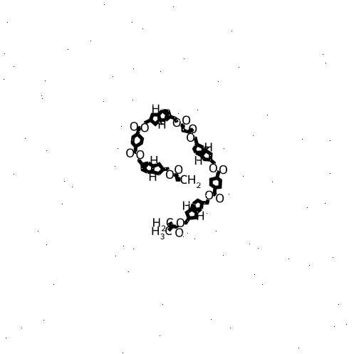 C=CC(=O)OCC1C[C@@H]2C3CC(CC3COC(=O)C3CCC(C(=O)OCC4C[C@@H]5C6CC(COC(=O)CC(=O)OCC7CC8CC7[C@@H]7CC(COC(=O)C9CCC(C(=O)OCC%10CC%11CC%10[C@H]%10CC(COC(=O)C(=C)C)C[C@@H]%11%10)CC9)C[C@H]87)C(C6)[C@@H]5C4)CC3)[C@@H]2C1